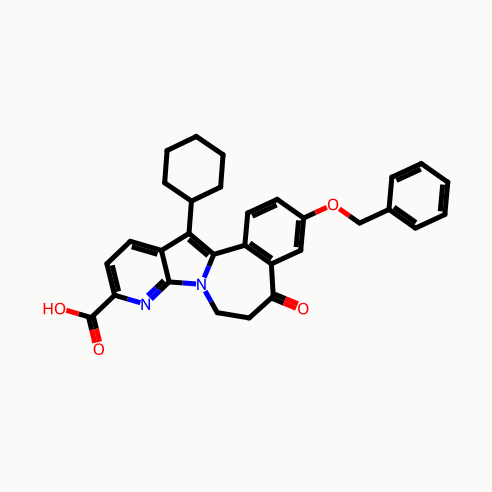 O=C(O)c1ccc2c(C3CCCCC3)c3n(c2n1)CCC(=O)c1cc(OCc2ccccc2)ccc1-3